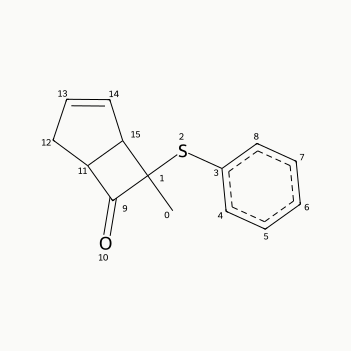 CC1(Sc2ccccc2)C(=O)C2CC=CC21